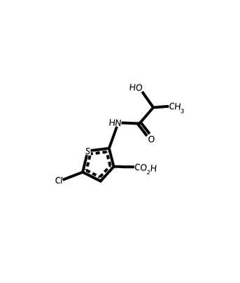 CC(O)C(=O)Nc1sc(Cl)cc1C(=O)O